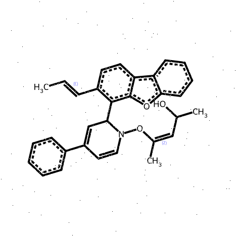 C/C=C/c1ccc2c(oc3ccccc32)c1C1C=C(c2ccccc2)C=CN1O/C(C)=C\C(C)O